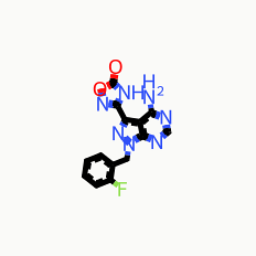 Nc1ncnc2c1c(-c1noc(=O)[nH]1)nn2Cc1ccccc1F